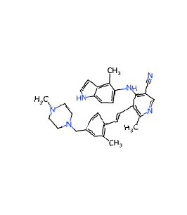 Cc1cc(CN2CCN(C)CC2)ccc1C=Cc1c(C)ncc(C#N)c1Nc1ccc2[nH]ccc2c1C